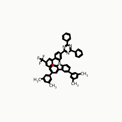 Cc1cc(C)cc(-c2ccc3c(c2)c2cc(-c4cc(C)cc(C)c4)ccc2n3-c2cc(-c3nc(-c4ccccc4)nc(-c4ccccc4)n3)ccc2-c2cccc(C(F)(F)F)c2)c1